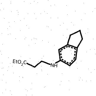 CCOC(=O)CCNc1ccc2c(c1)CCC2